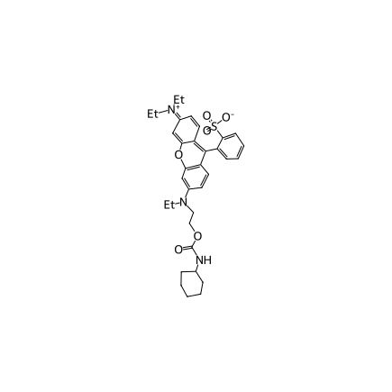 CCN(CCOC(=O)NC1CCCCC1)c1ccc2c(-c3ccccc3S(=O)(=O)[O-])c3ccc(=[N+](CC)CC)cc-3oc2c1